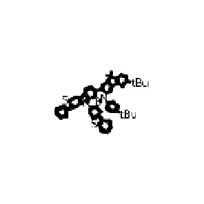 CC(C)(C)c1ccc(N2B3c4cc5c(cc4-n4c6cc7c(cc6c6ccc(c3c64)-c3cc4c(cc32)-c2cc(C(C)(C)C)ccc2C4(C)C)sc2ccccc27)sc2ccccc25)cc1